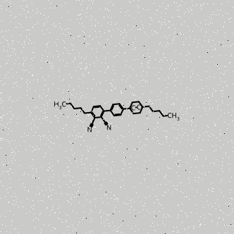 CCCCCc1ccc(-c2ccc(C34CCC(CCCCC)(CC3)CC4)cc2)c(C#N)c1C#N